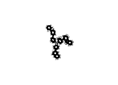 c1cc(-c2ccc3sc4ccccc4c3c2)cc(N(c2ccc(-c3ccc4ccccc4c3)cc2)c2ccc(-c3cccc4c3oc3ccccc34)cc2)c1